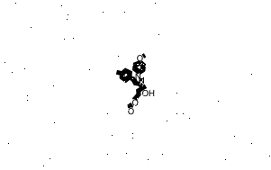 COc1ccc(-n2nc(C(C)(O)CCCOC=O)cc2-c2ccc(C)cc2)cc1